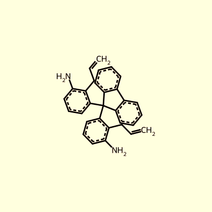 C=CCc1c(N)cccc1C1(c2cccc(N)c2CC=C)c2ccccc2-c2ccccc21